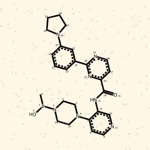 CB(O)N1CCN(c2ccncc2NC(=O)c2ccnc(-c3cccc(N4CCCC4)c3)n2)CC1